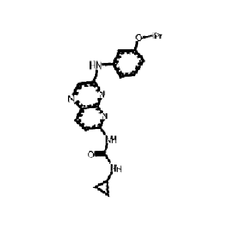 CC(C)Oc1cccc(Nc2cnc3ccc(NC(=O)NC4CC4)nc3n2)c1